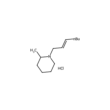 CCCCC=CCN1CCCCC1C.Cl